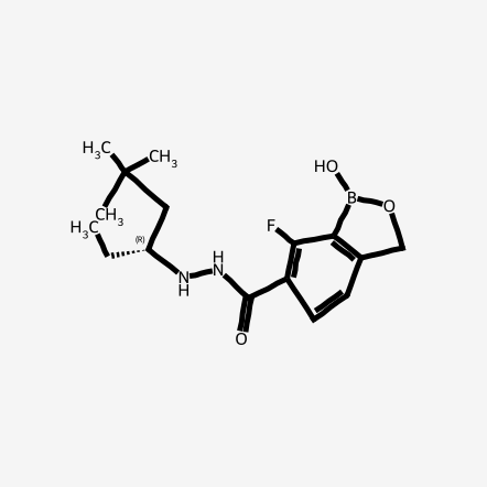 CC[C@H](CC(C)(C)C)NNC(=O)c1ccc2c(c1F)B(O)OC2